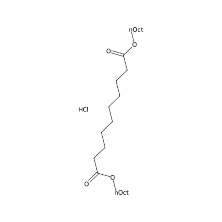 CCCCCCCCOC(=O)CCCCCCCCC(=O)OCCCCCCCC.Cl